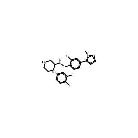 Cn1nccc1-c1ccc(SNC2CNCC[C@H]2c2ccc(F)c(F)c2)c(F)c1